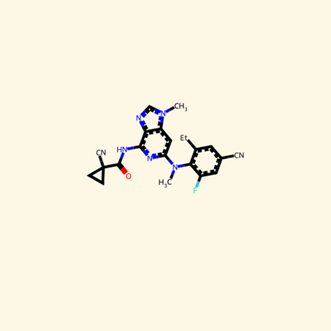 CCc1cc(C#N)cc(F)c1N(C)c1cc2c(ncn2C)c(NC(=O)C2(C#N)CC2)n1